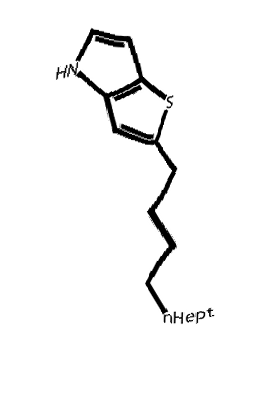 CCCCCCCCCCCc1cc2[nH]ccc2s1